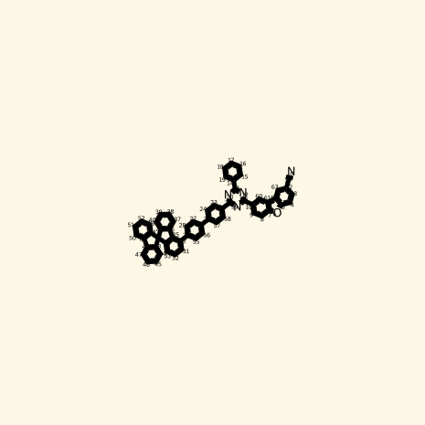 N#Cc1ccc2oc3ccc(-c4nc(-c5ccccc5)nc(-c5ccc(-c6ccc(-c7cccc8c7-c7ccccc7C87c8ccccc8-c8ccccc87)cc6)cc5)n4)cc3c2c1